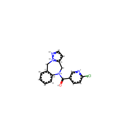 O=C(c1ccc(Cl)nc1)N1Cc2ccnn2Cc2ccccc21